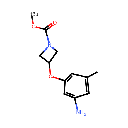 Cc1cc(N)cc(OC2CN(C(=O)OC(C)(C)C)C2)c1